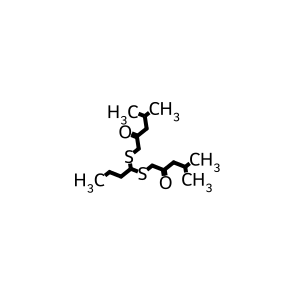 CCCC(SCC(=O)CC(C)C)SCC(=O)CC(C)C